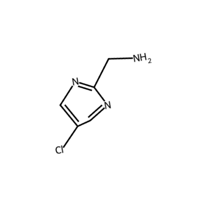 NCc1ncc(Cl)cn1